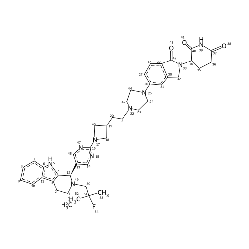 C[C@@H]1Cc2c([nH]c3ccccc23)[C@@H](c2cnc(N3CC(CCN4CCN(c5ccc6c(c5)CN(C5CCC(=O)NC5=O)C6=O)CC4)C3)nc2)N1CC(C)(C)F